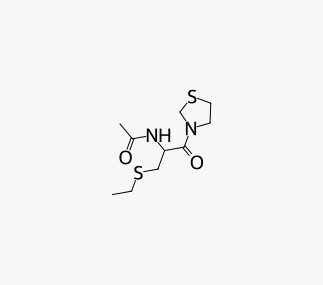 CCSCC(NC(C)=O)C(=O)N1CCSC1